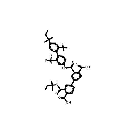 CCC(C)(C)NC(=O)c1cc(-c2ccc(C(=O)O)c(C(=O)Nc3ccc(-c4ccc(C(C)(C)CC)cc4C(F)(F)F)c(C(F)(F)F)c3)c2)ccc1C(=O)O